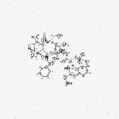 CC[Si](CC)(CC)O[C@@H](C(=O)O[C@H]1C[C@@]2(O)[C@@H](OC(=O)c3ccccc3)C3[C@](C)(C(=O)[C@H](CO)C(=C1C)C2(C)C)[C@@H](C)C[C@H]1OC[C@@]31OC(C)=O)[C@@H](NC(=O)OC(C)(C)C)c1ccccc1